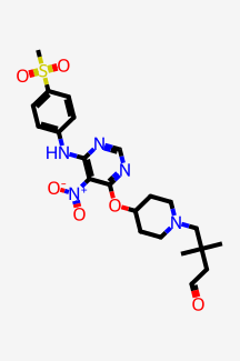 CC(C)(CC=O)CN1CCC(Oc2ncnc(Nc3ccc(S(C)(=O)=O)cc3)c2[N+](=O)[O-])CC1